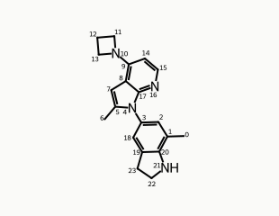 Cc1cc(-n2c(C)cc3c(N4CCC4)ccnc32)cc2c1NCC2